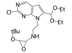 CCOC(OCC)c1cc2cnc(Cl)nc2n1CCNC1OC1OC(C)(C)C